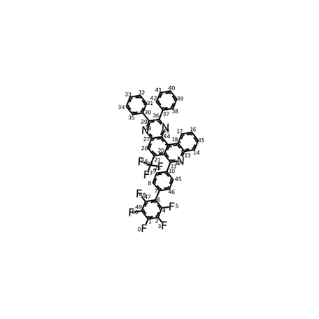 Fc1c(F)c(F)c(-c2ccc(-c3nc4ccccc4c4c3c(C(F)(F)F)cc3nc(-c5ccccc5)c(-c5ccccc5)nc34)cc2)c(F)c1F